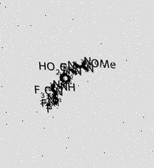 COc1ncc(-c2cnc(N(C(=O)O)[C@H]3CC[C@H](Nc4ncc(C(F)(F)F)c(-c5ccn(C(F)F)n5)n4)CC3)cn2)cn1